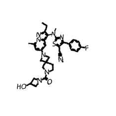 CCc1nn2c(C)cc(N3CC4(CCN(C(=O)N5CC(O)C5)C4)C3)cc2c1N(C)c1nc(-c2ccc(F)cc2)c(C#N)s1